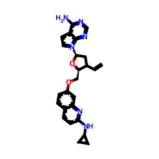 C=CC1C[C@H](n2ccc3c(N)ncnc32)O[C@@H]1COc1ccc2ccc(NC3CC3)nc2c1